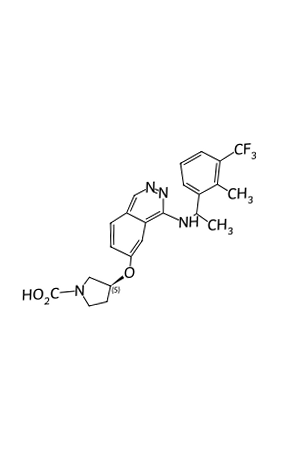 Cc1c(C(C)Nc2nncc3ccc(O[C@H]4CCN(C(=O)O)C4)cc23)cccc1C(F)(F)F